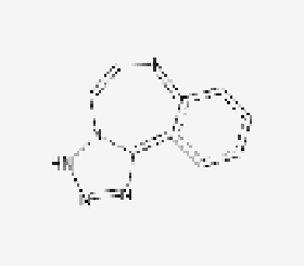 C1=CN2NN=NC2=c2ccccc2=N1